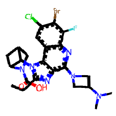 CCc1nc2c(N3CC(N(C)C)C3)nc3c(F)c(Br)c(Cl)cc3c2n1C1C2CC1N(C(=O)O)C2